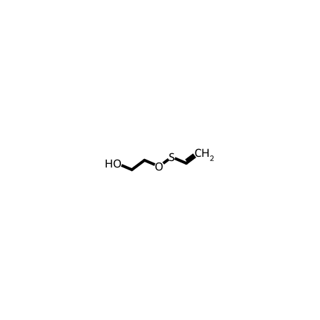 C=CSOCCO